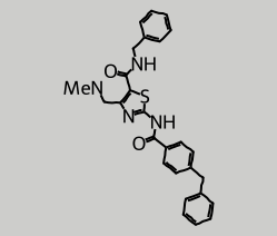 CNCc1nc(NC(=O)c2ccc(Cc3ccccc3)cc2)sc1C(=O)NCc1ccccc1